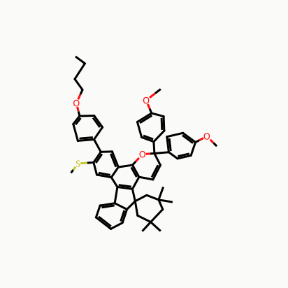 CCCCOc1ccc(-c2cc3c4c(c5c(c3cc2SC)-c2ccccc2C52CC(C)(C)CC(C)(C)C2)C=CC(c2ccc(OC)cc2)(c2ccc(OC)cc2)O4)cc1